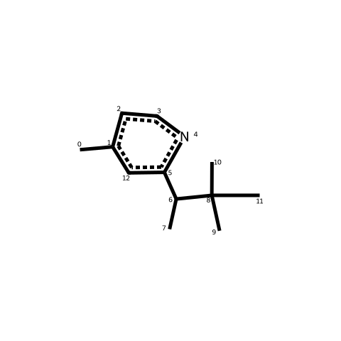 Cc1ccnc(C(C)C(C)(C)C)c1